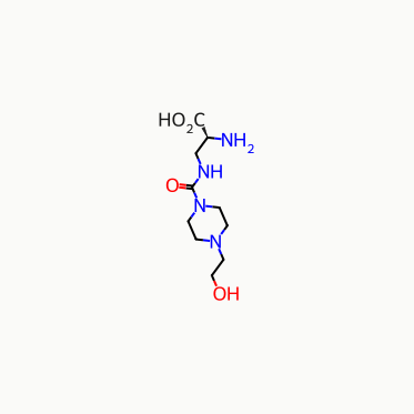 N[C@@H](CNC(=O)N1CCN(CCO)CC1)C(=O)O